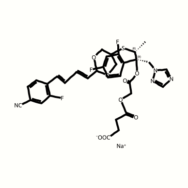 C[C@@H](SC1COC(C=CC=Cc2ccc(C#N)cc2F)OC1)[C@@](Cn1cncn1)(OC(=O)COC(=O)CCC(=O)[O-])c1ccc(F)cc1F.[Na+]